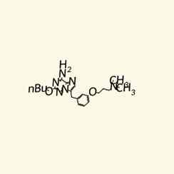 CCCCOc1nc(N)c2ncc(Cc3cccc(OCCCN(C)C)c3)n2n1